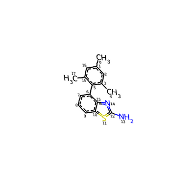 Cc1cc(C)c(-c2cccc3sc(N)nc23)c(C)c1